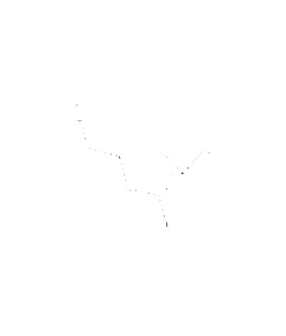 CC(SCC[O])C(C)(C)C